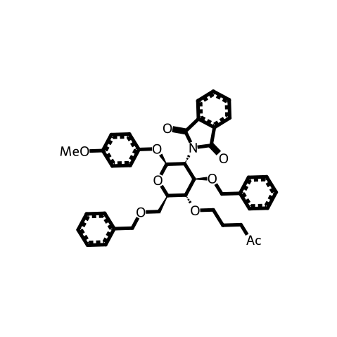 COc1ccc(O[C@@H]2O[C@H](COCc3ccccc3)[C@@H](OCCCC(C)=O)[C@H](OCc3ccccc3)[C@H]2N2C(=O)c3ccccc3C2=O)cc1